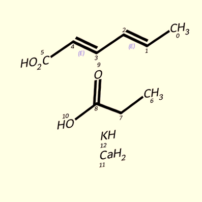 C/C=C/C=C/C(=O)O.CCC(=O)O.[CaH2].[KH]